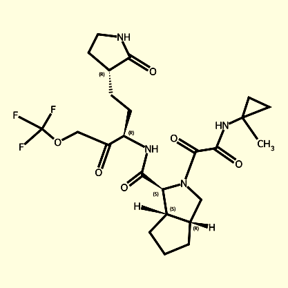 CC1(NC(=O)C(=O)N2C[C@@H]3CCC[C@@H]3[C@H]2C(=O)N[C@H](CC[C@@H]2CCNC2=O)C(=O)COC(F)(F)F)CC1